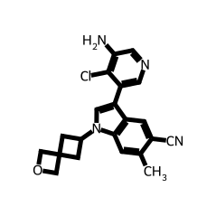 Cc1cc2c(cc1C#N)c(-c1cncc(N)c1Cl)cn2C1CC2(COC2)C1